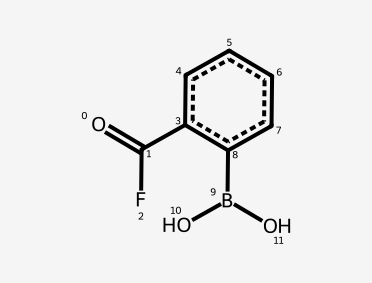 O=C(F)c1ccccc1B(O)O